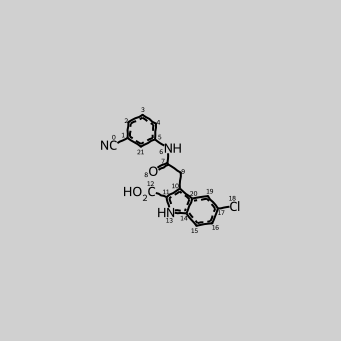 N#Cc1cccc(NC(=O)Cc2c(C(=O)O)[nH]c3ccc(Cl)cc23)c1